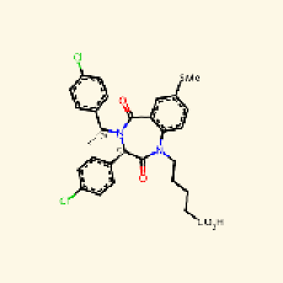 CSc1ccc2c(c1)C(=O)N([C@H](C)c1ccc(Cl)cc1)[C@H](c1ccc(Cl)cc1)C(=O)N2CCCCC(=O)O